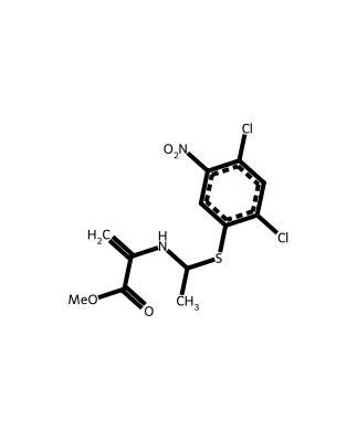 C=C(NC(C)Sc1cc([N+](=O)[O-])c(Cl)cc1Cl)C(=O)OC